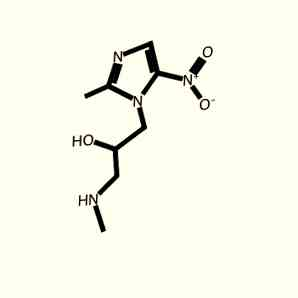 CNCC(O)Cn1c([N+](=O)[O-])cnc1C